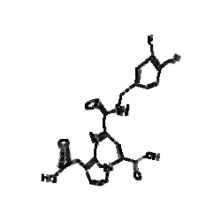 O=C(NCc1ccc(F)c(F)c1)c1cc(C(=O)O)n2ccc(C(=O)O)c2n1